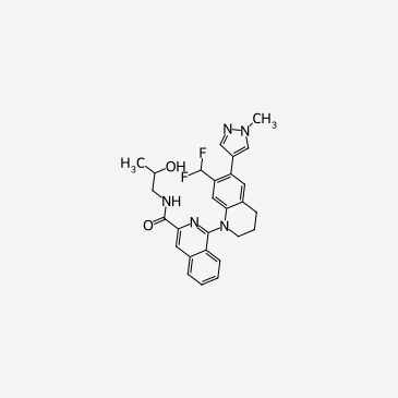 CC(O)CNC(=O)c1cc2ccccc2c(N2CCCc3cc(-c4cnn(C)c4)c(C(F)F)cc32)n1